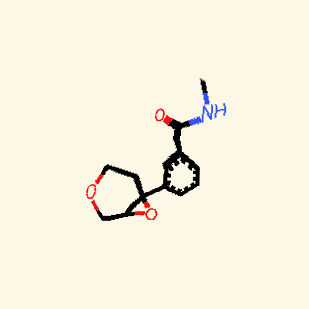 CNC(=O)c1cccc(C23CCOCC2O3)c1